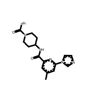 CCCC(=O)N1CCC(NC(=O)c2cc(C)cc(-n3ccnc3)n2)CC1